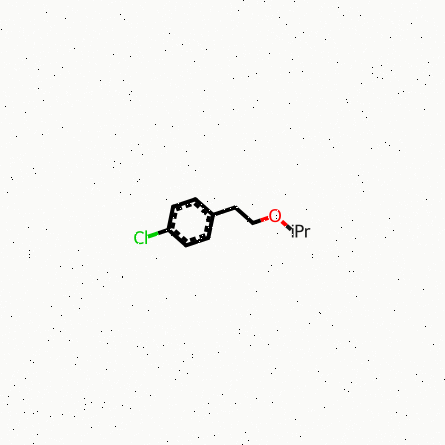 [CH2]C(C)OCCc1ccc(Cl)cc1